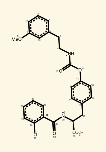 COc1cccc(CCNC(=O)Oc2ccc(C[C@H](NC(=O)c3ccccc3Cl)C(=O)O)cc2)c1